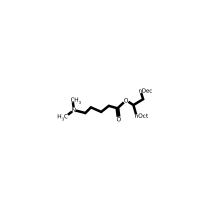 CCCCCCCCCCCC(CCCCCCCC)OC(=O)CCCCN(C)C